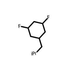 CC(C)CC1CC(F)CC(F)C1